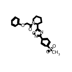 CS(=O)(=O)c1ccc(-c2noc(C3CCCCN3C(=O)COc3ccccc3)n2)cc1